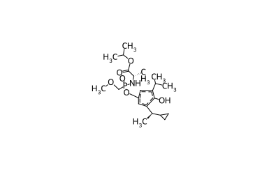 COCP(=O)(N[C@@H](C)C(=O)OC(C)C)Oc1cc(C(C)C)c(O)c([C@H](C)C2CC2)c1